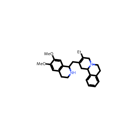 CCC1=C(CC2NCCc3cc(OC)c(OC)cc32)CC2c3ccccc3CCN2C1